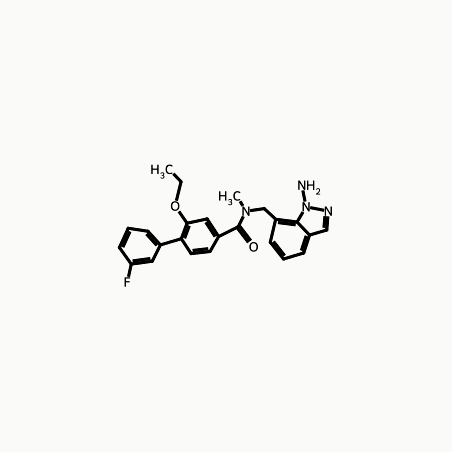 CCOc1cc(C(=O)N(C)Cc2cccc3cnn(N)c23)ccc1-c1cccc(F)c1